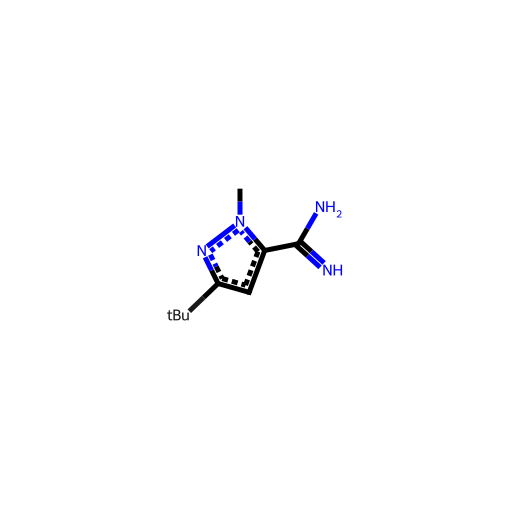 Cn1nc(C(C)(C)C)cc1C(=N)N